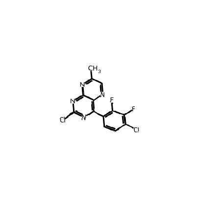 Cc1cnc2c(-c3ccc(Cl)c(F)c3F)nc(Cl)nc2n1